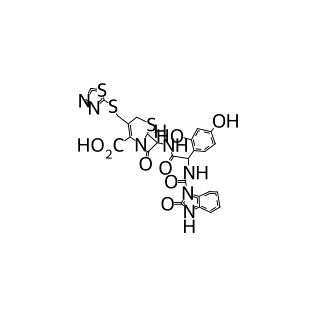 O=C(O)C1=C(CSc2nncs2)CS[C@H]2C(NC(=O)C(NC(=O)n3c(=O)[nH]c4ccccc43)c3ccc(O)cc3O)C(=O)N12